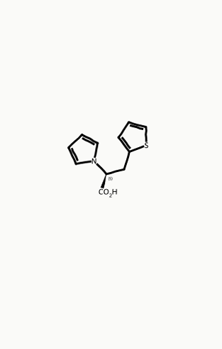 O=C(O)[C@H](Cc1cccs1)n1cccc1